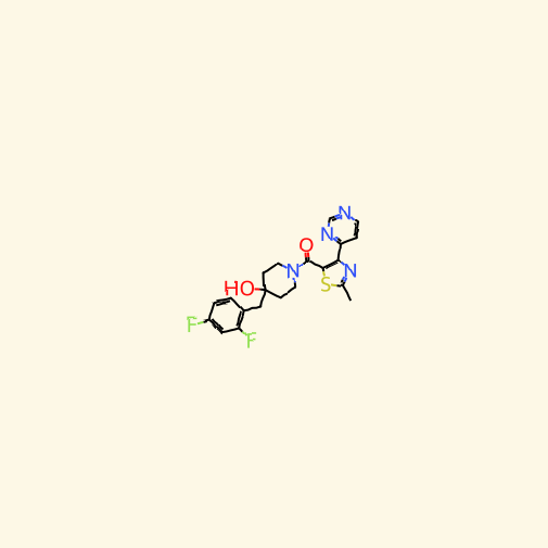 Cc1nc(-c2ccncn2)c(C(=O)N2CCC(O)(Cc3ccc(F)cc3F)CC2)s1